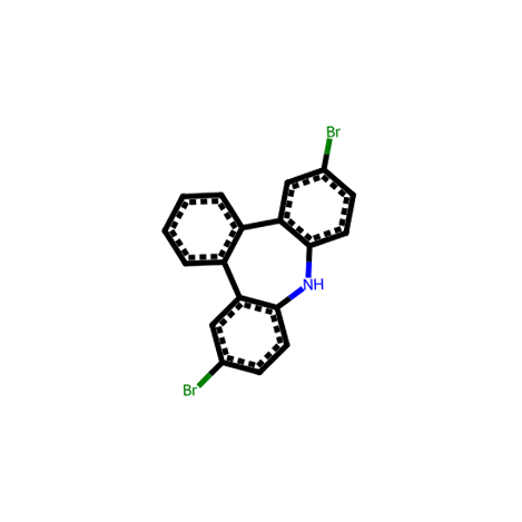 Brc1ccc2c(c1)-c1ccccc1-c1cc(Br)ccc1N2